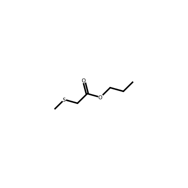 CCCOC(=O)CSC